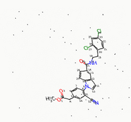 COC(=O)Cc1ccc(-n2ccc3cc(C(=O)NCCc4ccc(Cl)cc4Cl)ccc32)c(C#N)c1